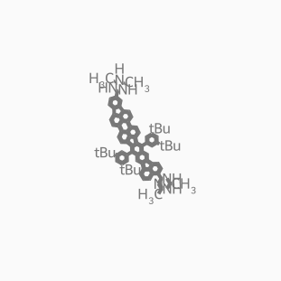 CC1=NC(c2ccc3c4cc5c(-c6cc(C(C)(C)C)cc(C(C)(C)C)c6)c6c7ccc8c9ccc%10c%11c(ccc(c%12ccc(c6c(-c6cc(C(C)(C)C)cc(C(C)(C)C)c6)c5cc4c4cccc2c43)c7c%128)c%119)-c2ccc(C3NC(C)NC(C)N3)cc2-%10)NC(C)N1